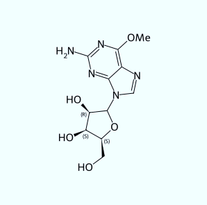 COc1nc(N)nc2c1ncn2C1O[C@@H](CO)[C@@H](O)[C@H]1O